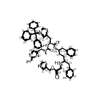 CC(C)c1nc(CN(C)C(=O)NC(Cc2cn(C(c3ccccc3)(c3ccccc3)c3ccccc3)cn2)C(=O)NC(CCC(Cc2ccccc2)NCC(=O)OCc2cncs2)Cc2ccccc2)cs1